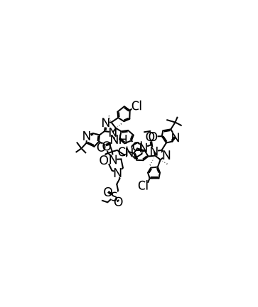 CCOc1cc(C(C)(C)C)ncc1C1=N[C@@](C)(c2ccc(Cl)cc2)[C@@](C)(c2ccc(Cl)cc2)N1NC(=O)C(C=O)(CCN1CCN(C(=O)N2C(c3cnc(C(C)(C)C)cc3OCC)=N[C@@](C)(c3ccc(Cl)cc3)[C@@]2(C)c2ccc(Cl)cc2)CC1)N1CCN(CCCS(=O)(=O)CC)CC1